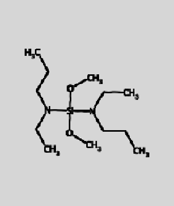 CCCN(CC)[Si](OC)(OC)N(CC)CCC